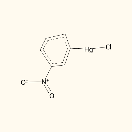 O=[N+]([O-])c1cc[c][c]([Hg][Cl])c1